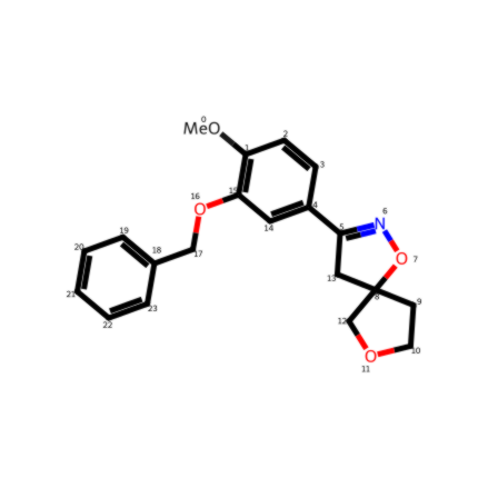 COc1ccc(C2=NOC3(CCOC3)C2)cc1OCc1ccccc1